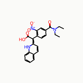 CCN(CC)C(=O)c1ccc(/C(C(=O)O)=C2\C=Cc3ccccc3N2)c([N+](=O)[O-])c1